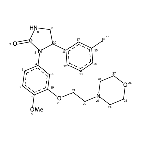 COc1ccc(N2C(=O)NCC2c2cccc(F)c2)cc1OCCN1CCOCC1